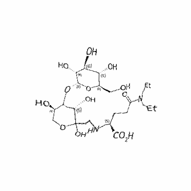 CCN(CC)C(=O)CC[C@H](NCC1(O)OC[C@@H](O)C(O[C@H]2O[C@H](CO)[C@@H](O)[C@H](O)[C@H]2O)[C@@H]1O)C(=O)O